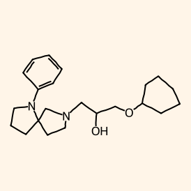 OC(COC1CCCCC1)CN1CCC2(CCCN2c2ccccc2)C1